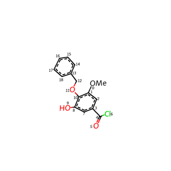 COc1cc(C(=O)Cl)cc(O)c1OCc1ccccc1